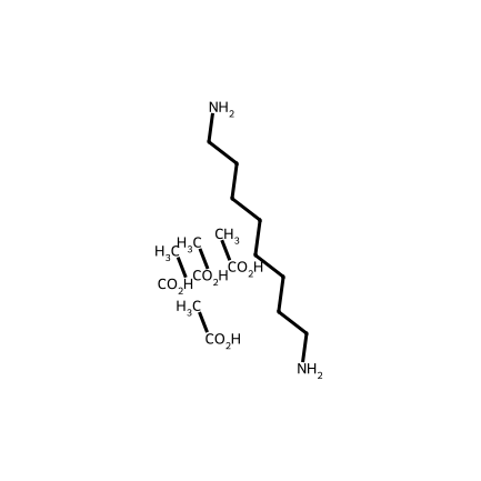 CC(=O)O.CC(=O)O.CC(=O)O.CC(=O)O.NCCCCCCCCN